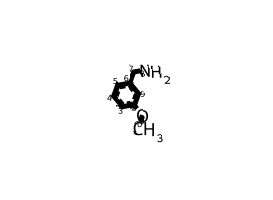 COc1[c]ccc(CN)c1